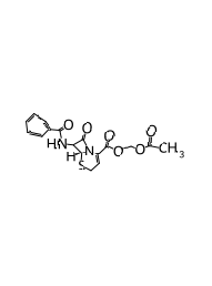 CC(=O)OCOC(=O)C1=CCS[C@@H]2C(NC(=O)c3ccccc3)C(=O)N12